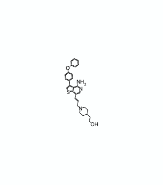 Nc1ncc(C=CCN2CCC(CCO)CC2)c2scc(-c3ccc(Oc4ccccc4)cc3)c12